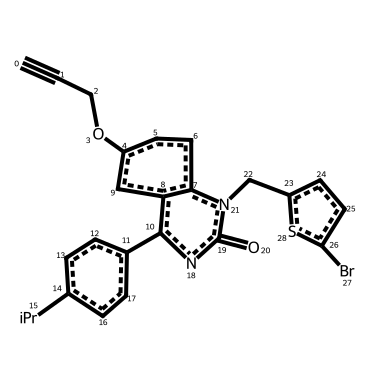 C#CCOc1ccc2c(c1)c(-c1ccc(C(C)C)cc1)nc(=O)n2Cc1ccc(Br)s1